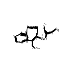 CCCCc1c(NC(=O)CC(C)(C)C)ccc2ccccc12